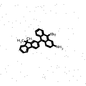 CC(C)(C)c1c2ccccc2c(-c2ccc3c(c2)C(C)(C)c2ccccc2-3)c2ccc(N)cc12